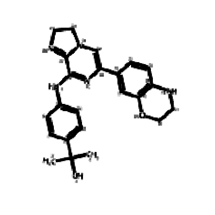 CC(C)(O)c1ccc(NC2=NC(c3ccc4c(c3)OCCN4)=CN3CCN=C23)cc1